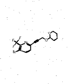 FC(F)(F)c1nc(C#CCOC2CCCCO2)ccc1Br